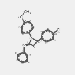 COc1ccc(N2/C(=N/c3ccccc3)CC2c2ccc(Cl)cc2)cc1